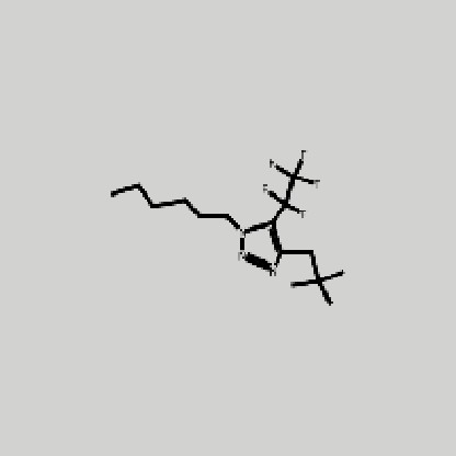 CCCCCCn1nnc(CC(C)(C)C)c1C(F)(F)C(F)(F)F